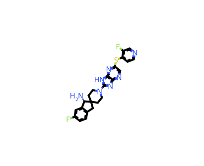 N[C@@H]1c2cc(F)ccc2CC12CCN(c1nc3ncc(Sc4ccncc4F)nc3[nH]1)CC2